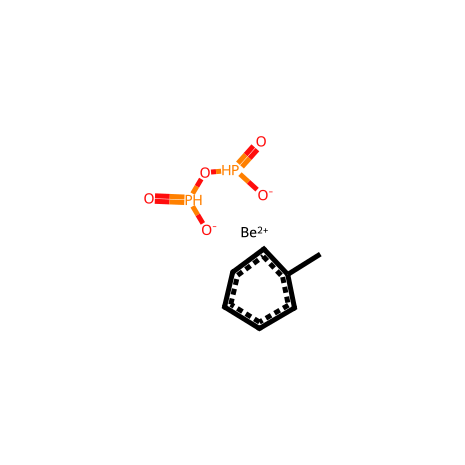 Cc1ccccc1.O=[PH]([O-])O[PH](=O)[O-].[Be+2]